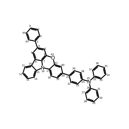 c1ccc(-c2cc3c4c(c2)c2ccccc2n4-c2ccc(-c4ccc(N(c5ccccc5)c5ccccc5)cc4)cc2O3)cc1